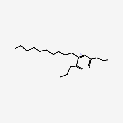 CCCCCCCCCC/C(=C/C(=O)OCC)C(=O)OCC